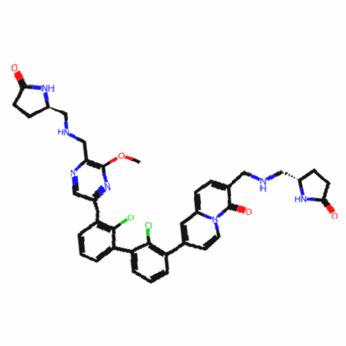 COc1nc(-c2cccc(-c3cccc(-c4ccn5c(=O)c(CNC[C@@H]6CCC(=O)N6)ccc5c4)c3Cl)c2Cl)cnc1CNC[C@H]1CCC(=O)N1